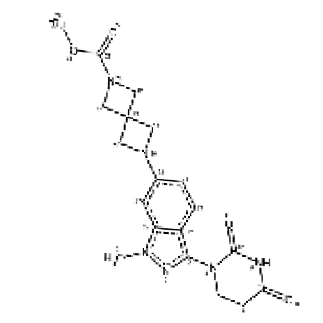 Cn1nc(N2CCC(=O)NC2=O)c2ccc(N3CC4(CN(C(=O)OC(C)(C)C)C4)C3)cc21